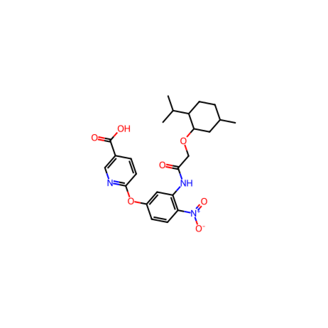 CC1CCC(C(C)C)C(OCC(=O)Nc2cc(Oc3ccc(C(=O)O)cn3)ccc2[N+](=O)[O-])C1